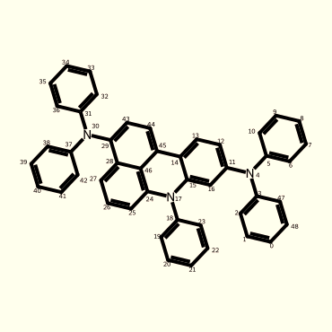 c1ccc(N(c2ccccc2)c2ccc3c(c2)N(c2ccccc2)c2cccc4c(N(c5ccccc5)c5ccccc5)ccc-3c24)cc1